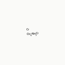 C.[AlH3].[Cr].[Cr]